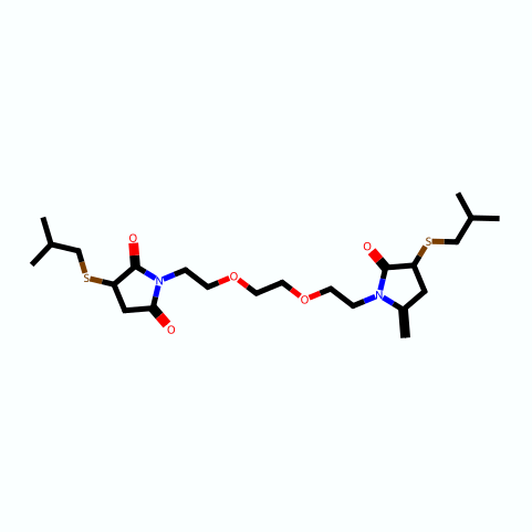 C=C1CC(SCC(C)C)C(=O)N1CCOCCOCCN1C(=O)CC(SCC(C)C)C1=O